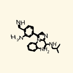 C=C(NCC(C)C)c1ncc(-c2ccc(C=N)c(N)c2)n1-c1ccccc1N